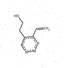 C=Cc1nnncc1CCO